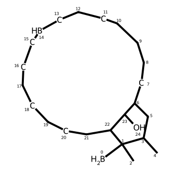 BC1(C)C(C)CC2CCCCCCCBCCCCCCCC1C2O